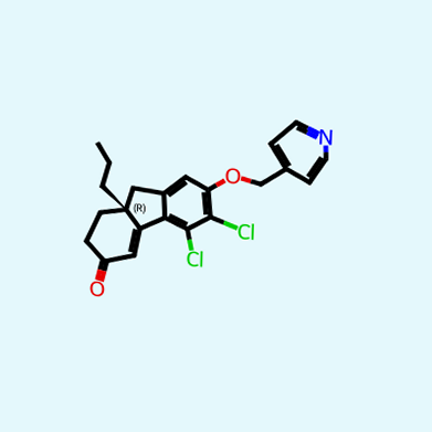 CCC[C@]12CCC(=O)C=C1c1c(cc(OCc3ccncc3)c(Cl)c1Cl)C2